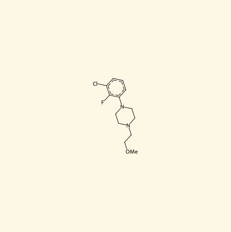 COCCN1CCN(c2cccc(Cl)c2F)CC1